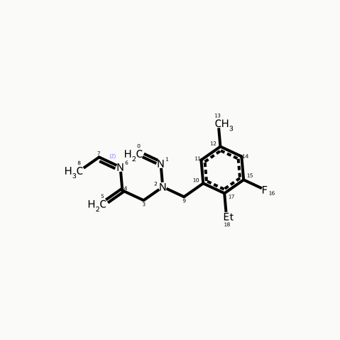 C=NN(CC(=C)/N=C\C)Cc1cc(C)cc(F)c1CC